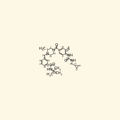 C[C@@H]1CN(C(=O)c2ccc(NC(=O)NCC3CC3)c(F)c2)CCN1Cc1cccc(C(=O)NC(C)(C)C)c1